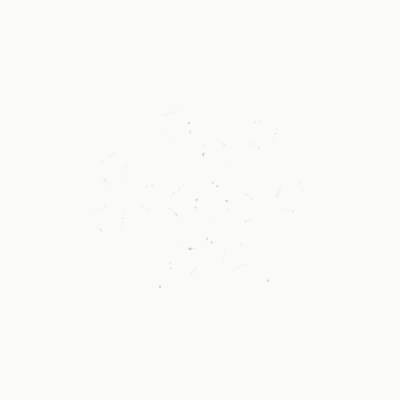 CC(C)(C)c1ccc2c(c1)c1cc(C(C)(C)C)cc3c1n2B1c2cc4cc5c6ccccc6c6ccccc6c5cc4cc2N(c2cc(-c4ccccc4)cc(-c4ccccc4)c2)c2cc4c(oc5ccccc54)c-3c21